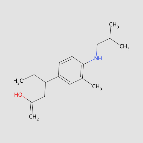 C=C(O)CC(CC)c1ccc(NCC(C)C)c(C)c1